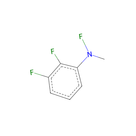 CN(F)c1cccc(F)c1F